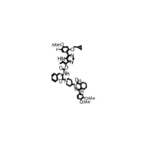 COc1cc(OCC2CC2)c(-c2ncnc3c(OC(=O)N[C@H](Cc4ccccc4)C(=O)N4CCC(N5N=C(c6ccc(OC)c(OC)c6)[C@H]6CCCC[C@H]6C5=O)CC4)c(C)[nH]c23)cc1F